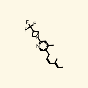 C/C=C(C)/C=C\Cc1cnc(N2CC(C(F)(F)F)C2)cc1C